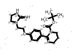 CC(C)(C)OC(=O)N1CCCN=C1c1ccc(OCCN2CCNC2=N)cc1